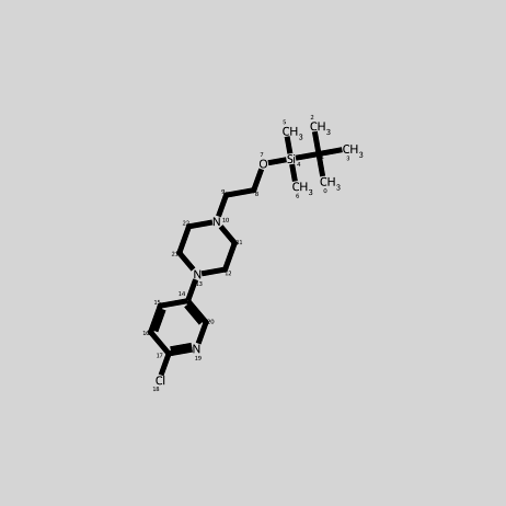 CC(C)(C)[Si](C)(C)OCCN1CCN(c2ccc(Cl)nc2)CC1